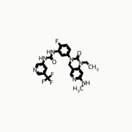 CCN1C(=O)N(c2ccc(F)c(NC(=O)Nc3cncc(C(F)(F)F)c3)c2)Cc2cnc(NC)cc21